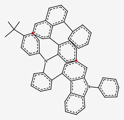 CC(C)(C)c1ccc(N(c2ccccc2-c2cccc3cccc(-c4ccccc4)c23)c2ccccc2-c2cccc3c2c2ccccc2n3-c2ccccc2)cc1